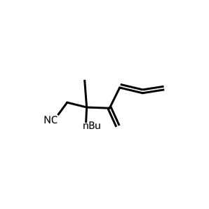 C=C=CC(=C)C(C)(CC#N)CCCC